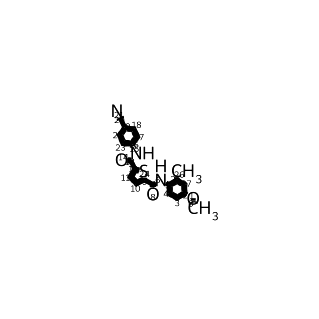 COc1ccc(NC(=O)c2ccc(C(=O)Nc3ccc(C#N)cc3)s2)c(C)c1